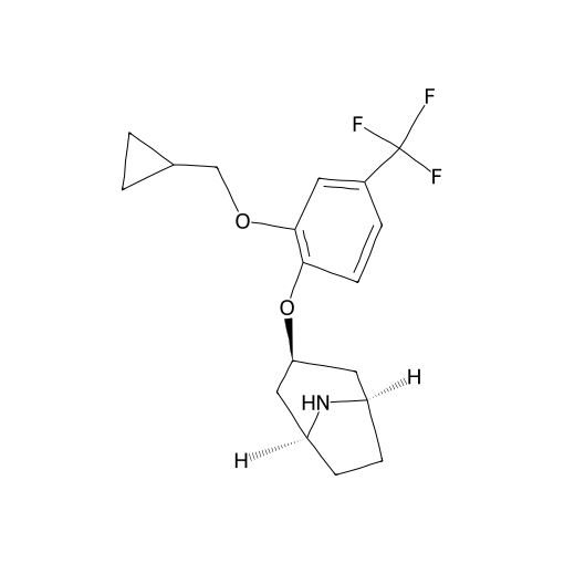 FC(F)(F)c1ccc(O[C@H]2C[C@H]3CC[C@@H](C2)N3)c(OCC2CC2)c1